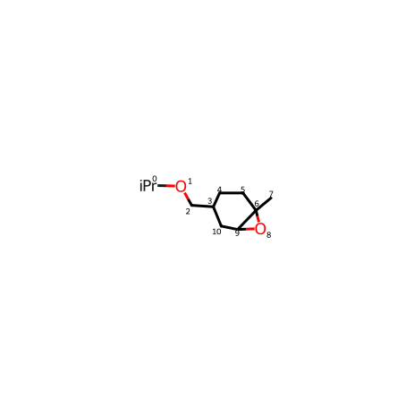 CC(C)OCC1CCC2(C)OC2C1